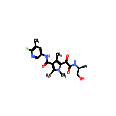 Cc1cc(NC(=O)c2c(C)c(C(=O)C(=O)N[C@H](CO)C(C)C)n(C)c2C)cnc1F